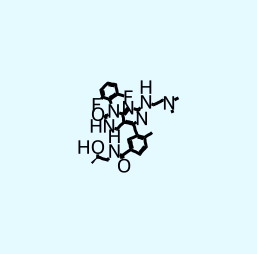 Cc1ccc(C(=O)NC[C@@H](C)O)cc1-c1nc(NCCN(C)C)nc2c1CNC(=O)N2c1c(F)cccc1F